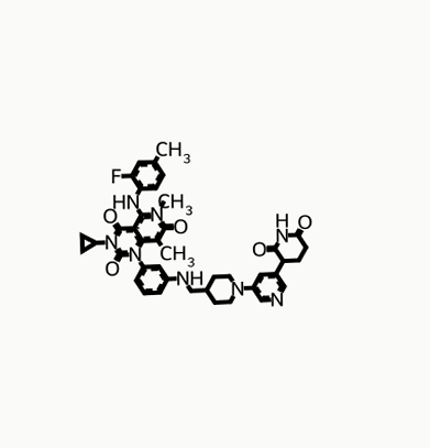 Cc1ccc(Nc2c3c(=O)n(C4CC4)c(=O)n(-c4cccc(NCC5CCN(c6cncc(C7CCC(=O)NC7=O)c6)CC5)c4)c3c(C)c(=O)n2C)c(F)c1